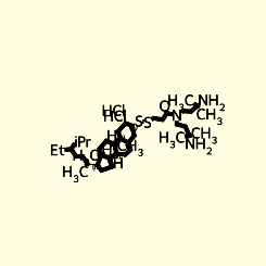 CCC(CCC(C)[C@H]1CC[C@H]2[C@@H]3CC=C4C[C@@H](SSCCC(=O)N(CCC(C)(C)N)CCC(C)(C)N)CC[C@]4(C)[C@H]3CC[C@]12C)C(C)C.Cl.Cl